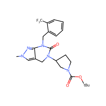 Cn1cc2c(n1)N(Cc1ccccc1C(F)(F)F)C(=O)N(C1CCN(C(=O)OC(C)(C)C)C1)C2